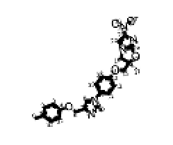 Cc1ccc(OCc2cn(-c3ccc(OC[C@@]4(C)Cn5cc([N+](=O)[O-])nc5O4)cc3)nn2)cc1